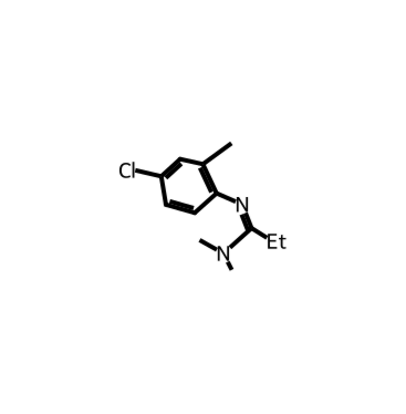 CCC(=Nc1ccc(Cl)cc1C)N(C)C